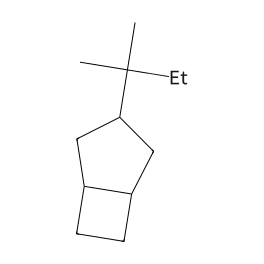 CCC(C)(C)C1CC2CCC2C1